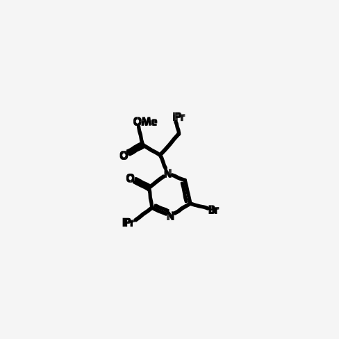 COC(=O)C(CC(C)C)n1cc(Br)nc(C(C)C)c1=O